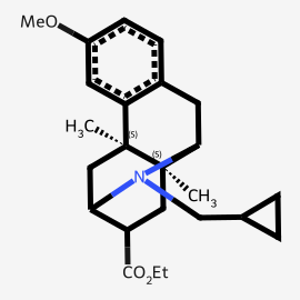 CCOC(=O)C1C[C@]2(C)C3Cc4ccc(OC)cc4[C@]2(C)CC1N3CC1CC1